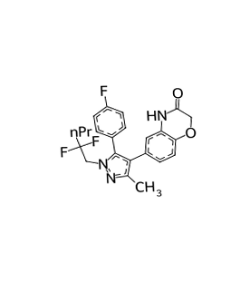 C[CH]CC(F)(F)Cn1nc(C)c(-c2ccc3c(c2)NC(=O)CO3)c1-c1ccc(F)cc1